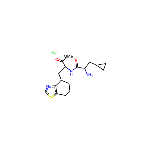 COC(=O)C(CC1CCCc2scnc21)NC(=O)C(N)CC1CC1.Cl